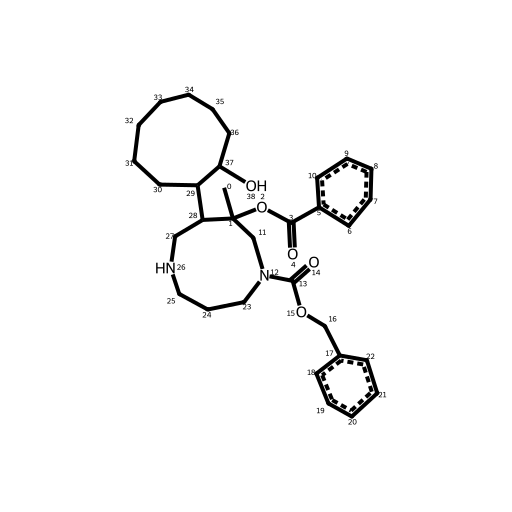 CC1(OC(=O)c2ccccc2)CN(C(=O)OCc2ccccc2)CCCNCC1C1CCCCCCCC1O